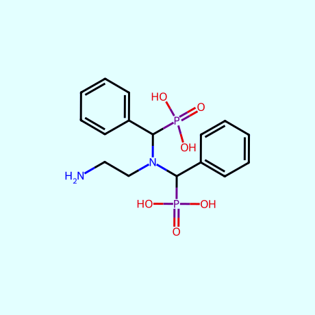 NCCN(C(c1ccccc1)P(=O)(O)O)C(c1ccccc1)P(=O)(O)O